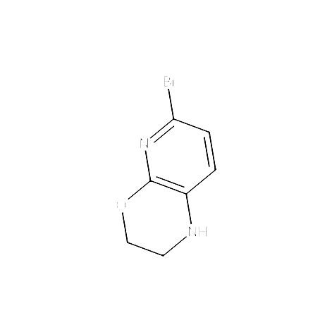 Brc1ccc2c(n1)OCCN2